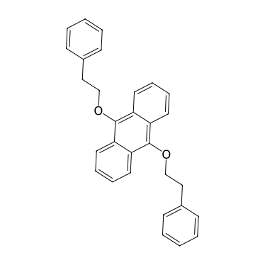 c1ccc(CCOc2c3ccccc3c(OCCc3ccccc3)c3ccccc23)cc1